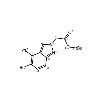 CC(C)(C)OC(=O)Cn1cc2c(Cl)c(Br)ccc2n1